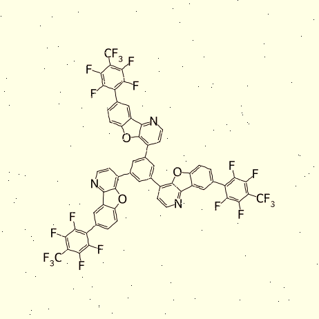 Fc1c(F)c(C(F)(F)F)c(F)c(F)c1-c1ccc2oc3c(-c4cc(-c5ccnc6c5oc5ccc(-c7c(F)c(F)c(C(F)(F)F)c(F)c7F)cc56)cc(-c5ccnc6c5oc5ccc(-c7c(F)c(F)c(C(F)(F)F)c(F)c7F)cc56)c4)ccnc3c2c1